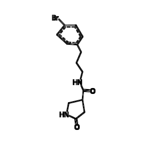 O=C1CC(C(=O)NCCCc2ccc(Br)cc2)CN1